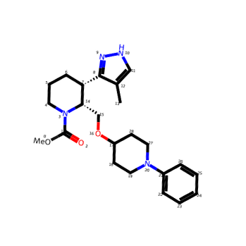 COC(=O)N1CCC[C@H](c2n[nH]cc2C)[C@@H]1COC1CCN(c2ccccc2)CC1